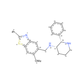 COc1cc2sc(C(C)C)nc2cc1CN[C@H]1CCCN[C@H]1c1ccccc1